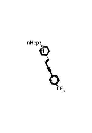 CCCCCCC[Si@H]1CC[C@H](C=CC#Cc2ccc(C(F)(F)F)cc2)CC1